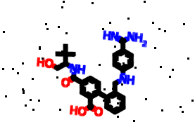 CC(C)(C)C(CO)NC(=O)c1ccc(-c2ccccc2CNc2ccc(C(=N)N)cc2)c(C(=O)O)c1